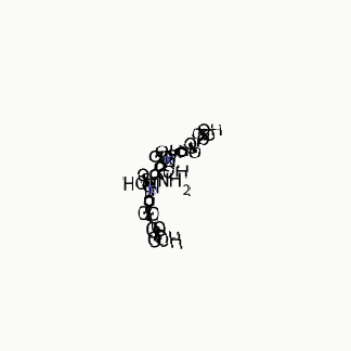 Nc1c(/N=N/c2ccc(S(=O)(=O)CCOS(=O)(=O)O)cc2)c(S(=O)(=O)O)cc2cc(S(=O)(=O)O)c(/N=N/c3ccc(S(=O)(=O)CCOS(=O)(=O)O)cc3)c(O)c12